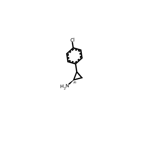 N[C@@H]1CC1c1ccc(Cl)cc1